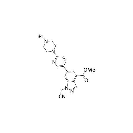 COC(=O)c1cc(-c2ccc(N3CCN(C(C)C)CC3)nc2)cc2c1cnn2CC#N